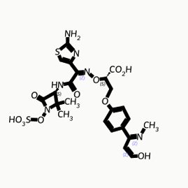 C/N=C(/C=C\O)c1ccc(OC[C@H](O/N=C(\C(=O)N[C@@H]2C(=O)N(OS(=O)(=O)O)C2(C)C)c2csc(N)n2)C(=O)O)cc1